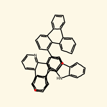 c1ccc(-c2cccc(-c3cccc4c5ccccc5c5ccccc5c34)c2-c2ncccc2-c2ccccc2-c2cccc3c2[nH]c2ccccc23)cc1